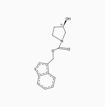 O=C(OCc1csc2ccccc12)N1CC[C@@H](O)C1